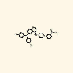 NC(=O)c1cccc(N2CCC(Nc3ncnc4ccc(C(c5ccc(Cl)cc5)c5ccc(Cl)cc5)cc34)CC2)c1